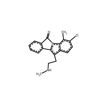 CNCCc1c2n(c3c(C)c(Cl)ccc13)C(=O)c1ccccc1-2